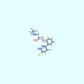 Cc1cc(=S)[nH]nc1-c1ccccc1OCC(O)CNC(C)(C)C